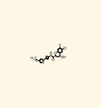 COc1cnn(C23CC(NC(=O)[C@@H]4C[C@@H](O)c5cc(Cl)c(F)cc5O4)(C2)C3)c1